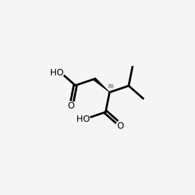 CC(C)[C@H](CC(=O)O)C(=O)O